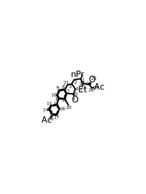 CCCC(CC1CC(=O)c2c(ccc(-c3ccc(C(C)=O)cc3)c2C)C1)C(CC)C(=O)CC(C)=O